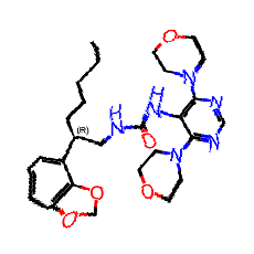 CCCCC[C@@H](CNC(=O)Nc1c(N2CCOCC2)ncnc1N1CCOCC1)c1cccc2c1OCO2